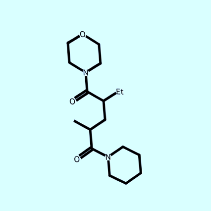 CCC(CC(C)C(=O)N1CCCCC1)C(=O)N1CCOCC1